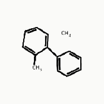 C.Cc1ccccc1-c1ccccc1